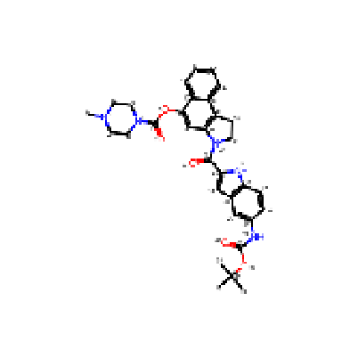 CN1CCN(C(=O)Oc2cc3c(c4ccccc24)CCN3C(=O)c2cc3cc(NC(=O)OC(C)(C)C)ccc3[nH]2)CC1